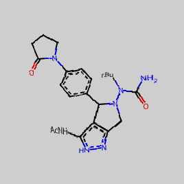 CCCCN(C(N)=O)N1Cc2n[nH]c(NC(C)=O)c2C1c1ccc(N2CCCC2=O)cc1